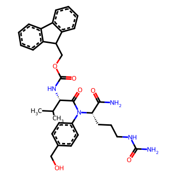 CC(C)[C@H](NC(=O)OCC1c2ccccc2-c2ccccc21)C(=O)N(c1ccc(CO)cc1)[C@@H](CCCNC(N)=O)C(N)=O